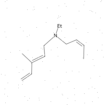 C=C/C(C)=C/CN(CC)C/C=C\C